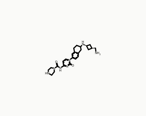 NC[C@H]1C[C@@H](NC2CCc3cc(-n4ccc(NC(=O)N5CCNCC5)nc4=O)ccc3C2)C1